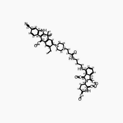 CCc1cc2c(cc1N1CCN(CCC(=O)NCCCNc3cccc4c(=C=O)n(C5CCC(=C=O)NC5=C=O)c(=C=O)c34)CC1)C(C)(C)c1[nH]c3cc(C#N)ccc3c1C2=C=O